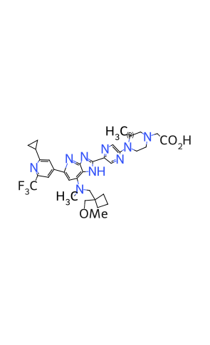 COCC1(CN(C)c2cc(-c3cc(C4CC4)nc(C(F)(F)F)c3)nc3nc(-c4cnc(N5CCN(CC(=O)O)C[C@H]5C)cn4)[nH]c23)CCC1